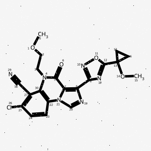 COCCn1c(=O)c2c(-c3noc(C4(OC)CC4)n3)ncn2c2ccc(Cl)c(C#N)c21